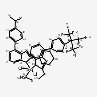 CCC1=Cc2c(-c3ccc(C(C(F)(F)F)(C(F)(F)F)C(F)(F)F)cc3)cccc2[CH]1[Zr]([Cl])([Cl])([CH]1C(C2CCCCC2)=Cc2c(-c3ccc(C(C)C)cc3)cccc21)[SiH](C)C